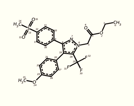 CCOC(=O)Cn1nc(-c2ccc(S(C)(=O)=O)cc2)c(-c2ccc(OC)cc2)c1C(F)(F)F